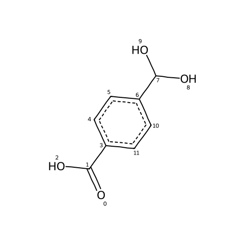 O=C(O)c1ccc(C(O)O)cc1